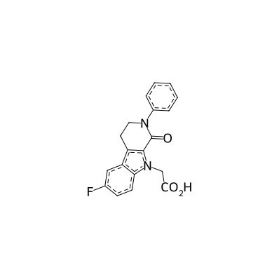 O=C(O)Cn1c2c(c3cc(F)ccc31)CCN(c1ccccc1)C2=O